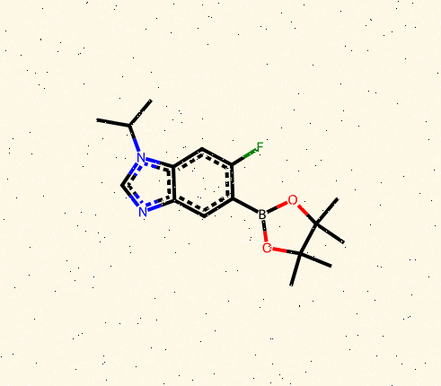 CC(C)n1cnc2cc(B3OC(C)(C)C(C)(C)O3)c(F)cc21